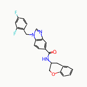 O=C(NC1COc2ccccc2C1)c1ccc2c(c1)ncn2Cc1ccc(F)cc1F